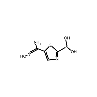 N/C(=N\O)c1cnc(B(O)O)s1